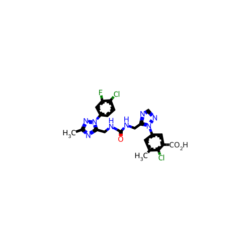 Cc1nc(CNC(=O)NCc2ncnn2-c2cc(C)c(Cl)c(C(=O)O)c2)n(-c2ccc(Cl)c(F)c2)n1